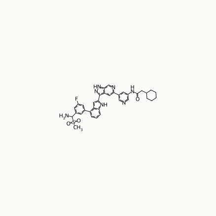 CS(=O)(=O)C(N)c1cc(F)cc(-c2cccc3[nH]c(-c4n[nH]c5cnc(-c6cncc(NC(=O)CC7CCCCC7)c6)cc45)cc23)c1